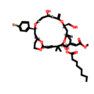 C=C1C[C@H](O)CCO[C@H](c2ccc(Br)cc2)C[C@@H]2CCO[C@H](/C=C/C(C)(C)[C@]3(O)O[C@@H](C/C(=C\C(=O)OC)[C@@H]3OC(=O)CCCCCCC)C[C@H](CO)O1)O2